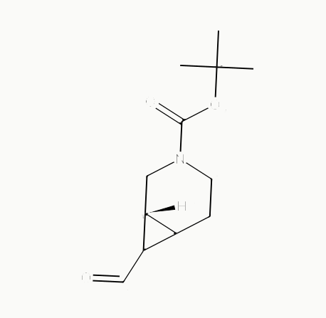 CC(C)(C)OC(=O)N1CCC2C(C=O)[C@@H]2C1